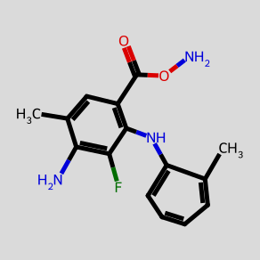 Cc1ccccc1Nc1c(C(=O)ON)cc(C)c(N)c1F